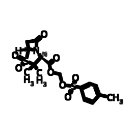 Cc1ccc(S(=O)(=O)OCOC(=O)[C@@H]2N3C(=O)C[C@H]3S(=O)(=O)C2(C)C)cc1